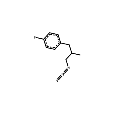 CC(CN=[N+]=[N-])Cc1ccc(F)cc1